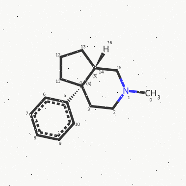 CN1CC[C@@]2(c3ccccc3)CCC[C@@H]2C1